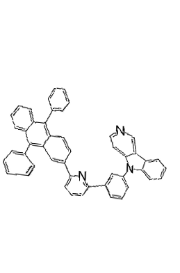 c1ccc(-c2c3ccccc3c(-c3ccccc3)c3cc(-c4cccc(-c5cccc(-n6c7ccccc7c7cnccc76)c5)n4)ccc23)cc1